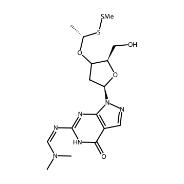 CSS[C@@H](C)OC1C[C@H](n2ncc3c(=O)[nH]c(/N=C\N(C)C)nc32)O[C@@H]1CO